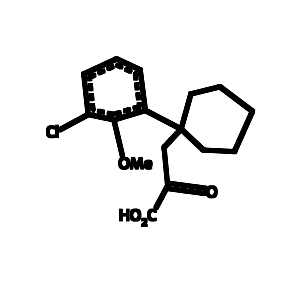 COc1c(Cl)cccc1C1(CC(=O)C(=O)O)CCCCC1